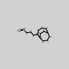 O=NCCCC1CCCC2CCCC1CC2